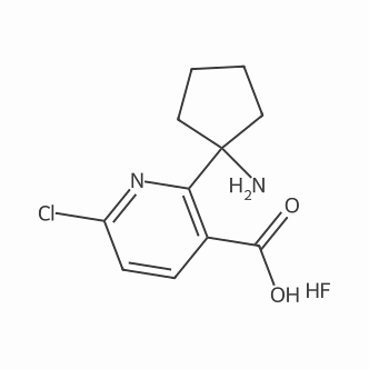 F.NC1(c2nc(Cl)ccc2C(=O)O)CCCC1